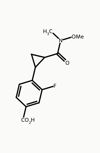 CON(C)C(=O)C1CC1c1ccc(C(=O)O)cc1F